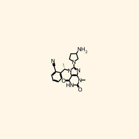 C[C@@H](c1ccccc1C#N)n1c(N2CCC(N)C2)nc2c1c(=O)[nH]c(=O)n2C